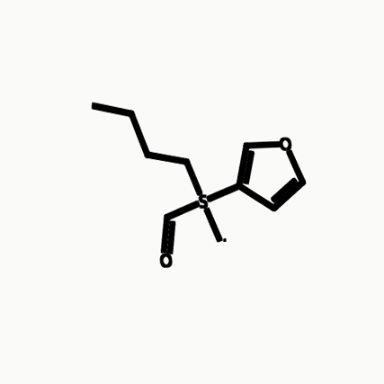 [CH2]S(C=O)(CCCC)c1ccoc1